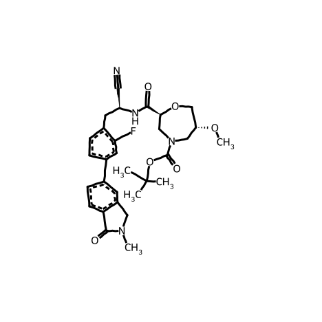 CO[C@H]1CO[C@H](C(=O)N[C@H](C#N)Cc2ccc(-c3ccc4c(c3)CN(C)C4=O)cc2F)CN(C(=O)OC(C)(C)C)C1